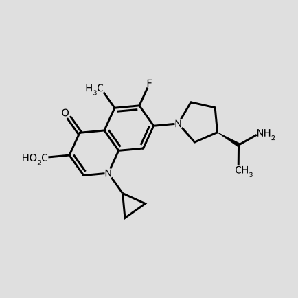 Cc1c(F)c(N2CC[C@@H](C(C)N)C2)cc2c1c(=O)c(C(=O)O)cn2C1CC1